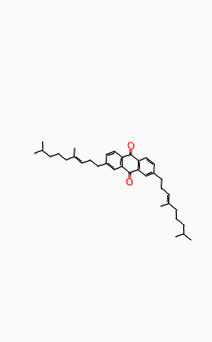 C/C(=C\CCc1ccc2c(c1)C(=O)c1cc(CC/C=C(\C)CCCC(C)C)ccc1C2=O)CCCC(C)C